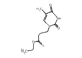 CCOC(=O)CCn1cc(C)c(=O)[nH]c1=O